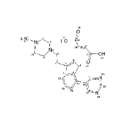 CN1CCN(CCC2=CCc3c2cccc3-c2cncnc2)CC1.O=C(O)C=CC(=O)O